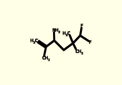 C=C(C)C(N)CC(C)(C)C(F)F